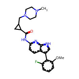 COc1cccc(F)c1-c1c[nH]c2nc(NC(=O)C3CC3CN3CCN(C)CC3)ccc12